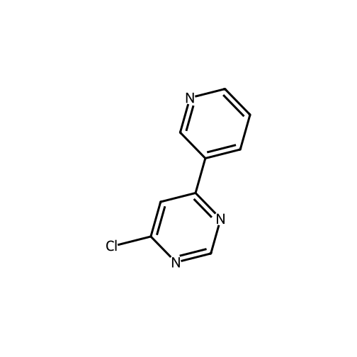 Clc1cc(-c2cccnc2)ncn1